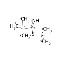 C=C(C)SC(=N)C(C)(C)C